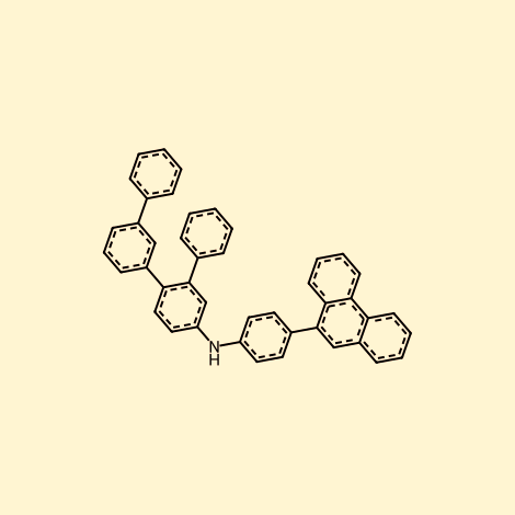 c1ccc(-c2cccc(-c3ccc(Nc4ccc(-c5cc6ccccc6c6ccccc56)cc4)cc3-c3ccccc3)c2)cc1